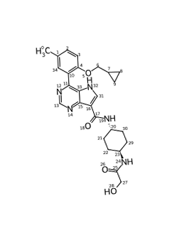 Cc1ccc(OCC2CC2)c(-c2ncnc3c(C(=O)N[C@H]4CC[C@H](NC(=O)CO)CC4)c[nH]c23)c1